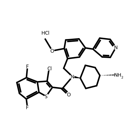 COc1ccc(-c2ccncc2)cc1CN(C(=O)c1sc2c(F)ccc(F)c2c1Cl)[C@H]1CC[C@H](N)CC1.Cl